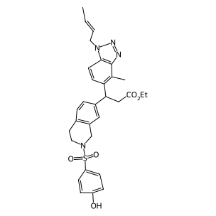 C/C=C/Cn1nnc2c(C)c(C(CC(=O)OCC)c3ccc4c(c3)CN(S(=O)(=O)c3ccc(O)cc3)CC4)ccc21